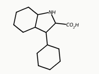 O=C(O)C1NC2CCCCC2C1C1CCCCC1